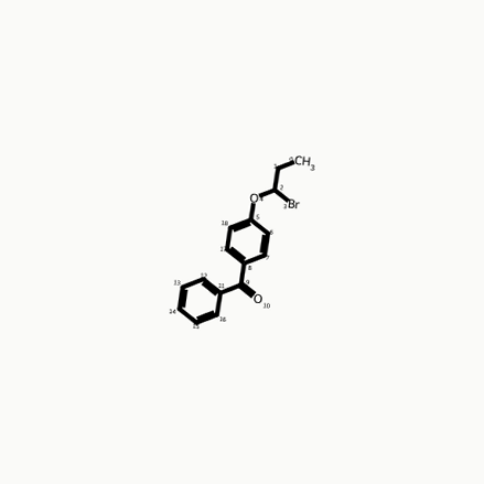 CCC(Br)Oc1ccc(C(=O)c2ccccc2)cc1